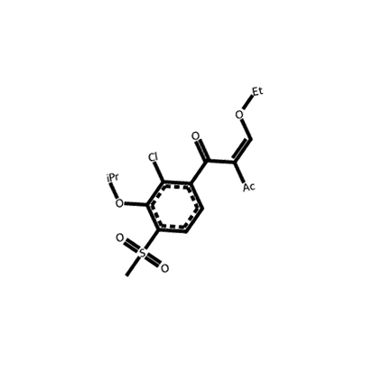 CCO/C=C(/C(C)=O)C(=O)c1ccc(S(C)(=O)=O)c(OC(C)C)c1Cl